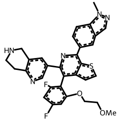 COCCOc1cc(F)cc(F)c1-c1c(-c2cnc3c(c2)CNCC3)nc(-c2ccc3c(cnn3C)c2)c2sccc12